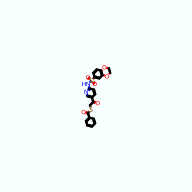 O=C(CSC(=O)c1ccccc1)c1ccc(NS(=O)(=O)c2ccc3c(c2)OCCO3)nc1